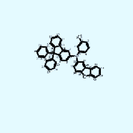 Clc1cccc(N(c2ccc3c(c2)-c2ccccc2C3(c2ccccc2)c2ccccc2)c2ccc3oc4ccccc4c3c2)c1